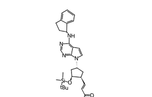 COC(=O)/C=C/[C@@H]1C[C@@H](n2ccc3c(N[C@H]4CCc5ccccc54)ncnc32)C[C@@H]1O[Si](C)(C)C(C)(C)C